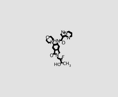 C[C@@H](O)[C@H](F)CN1Cc2cc(NC(=O)c3cnn4cccnc34)c(N3CCOCC3)cc2C1=O